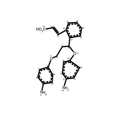 Nc1ccc(OCCC(Oc2ccc(N)cc2)c2ccccc2C=CC(=O)O)cc1